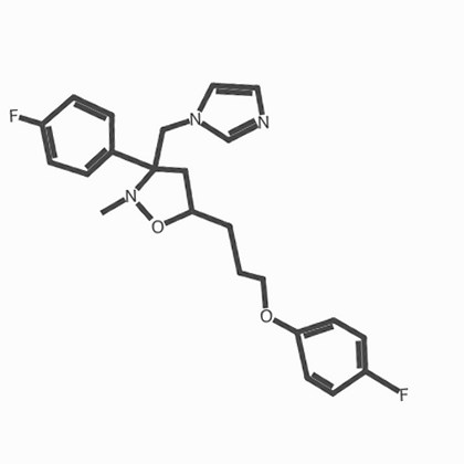 CN1OC(CCCOc2ccc(F)cc2)CC1(Cn1ccnc1)c1ccc(F)cc1